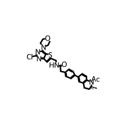 CC(=O)N1c2ccc(-c3ccc(CC(=O)NCc4cc5nc(Cl)nc(N6CCOCC6)c5s4)cc3)cc2CC[C@@H]1C